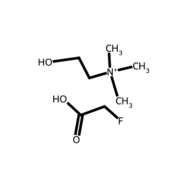 C[N+](C)(C)CCO.O=C(O)CF